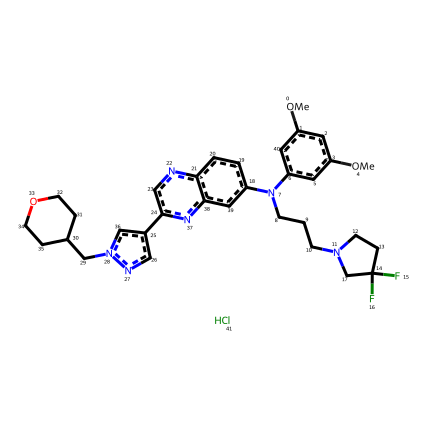 COc1cc(OC)cc(N(CCCN2CCC(F)(F)C2)c2ccc3ncc(-c4cnn(CC5CCOCC5)c4)nc3c2)c1.Cl